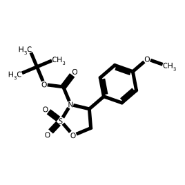 COc1ccc(C2COS(=O)(=O)N2C(=O)OC(C)(C)C)cc1